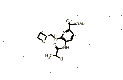 COC(=O)c1ccc(NC(=O)C(C)Cl)c(NC[C@@H]2CCO2)n1